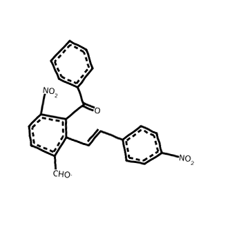 O=[C]c1ccc([N+](=O)[O-])c(C(=O)c2ccccc2)c1/C=C/c1ccc([N+](=O)[O-])cc1